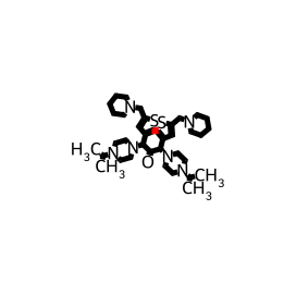 CC(C)N1CCN(C(C(=O)C(c2csc(CN3CCCCC3)c2)N2CCN(C(C)C)CC2)c2csc(CN3CCCCC3)c2)CC1